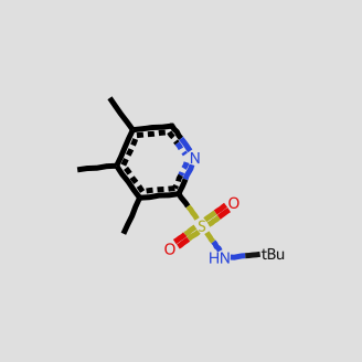 Cc1cnc(S(=O)(=O)NC(C)(C)C)c(C)c1C